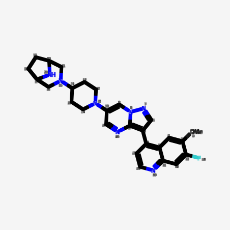 COc1cc2c(-c3cnn4cc(N5CCC(N6CC7CCC(C6)N7)CC5)cnc34)ccnc2cc1F